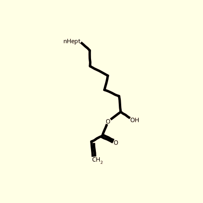 C=CC(=O)OC(O)CCCCCCCCCCCC